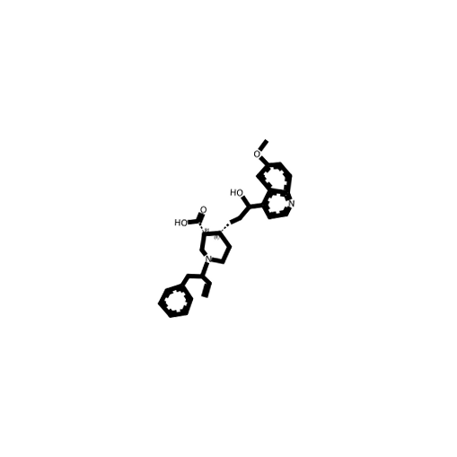 C=CC(Cc1ccccc1)N1CC[C@@H](CCC(O)c2ccnc3ccc(OC)cc23)[C@@H](C(=O)O)C1